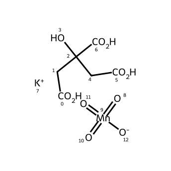 O=C(O)CC(O)(CC(=O)O)C(=O)O.[K+].[O]=[Mn](=[O])(=[O])[O-]